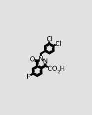 O=C(O)c1nn(Cc2ccc(Cl)c(Cl)c2)c(=O)c2cc(F)ccc12